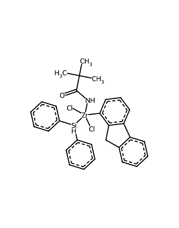 CC(C)(C)C(=O)[NH][Zr]([Cl])([Cl])([c]1cccc2c1Cc1ccccc1-2)[SiH](c1ccccc1)c1ccccc1